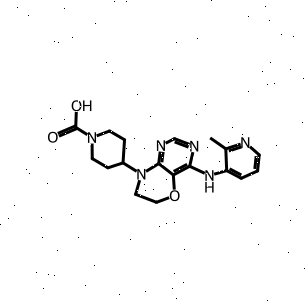 Cc1ncccc1Nc1ncnc2c1OCCN2C1CCN(C(=O)O)CC1